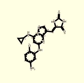 Nc1ccc(Cl)c(Nc2cc(NC3CC3)n3ncc(/C=C4\NC(=O)NC4=O)c3n2)c1